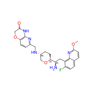 COc1ccc2ccc(F)c(C[C@@H](N)[C@@H]3CC[C@@H](NCc4ccc5c(n4)NC(=O)CO5)CO3)c2n1